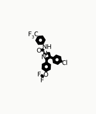 O=C(Nc1ccc(C(F)(F)F)cc1)N1CC(c2ccc(Cl)cc2)C(c2ccc(OC(F)F)cc2)=N1